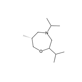 CC(C)C1CN(C(C)C)C[C@@H](C)CO1